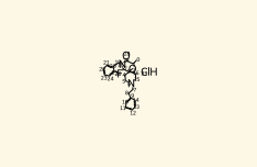 CC1OC2(CCN(CCc3ccccc3)CC2)CN(Cc2ccccc2F)C1=O.Cl